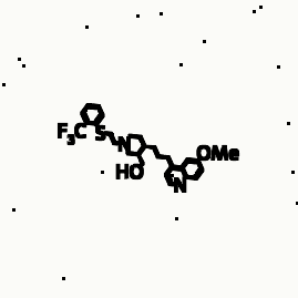 COc1ccc2nccc(CCC[C@@H]3CCN(CCSc4ccccc4C(F)(F)F)C[C@@H]3CO)c2c1